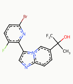 CC(O)(c1ccc2ncc(-c3nc(Br)ccc3F)n2c1)C(F)(F)F